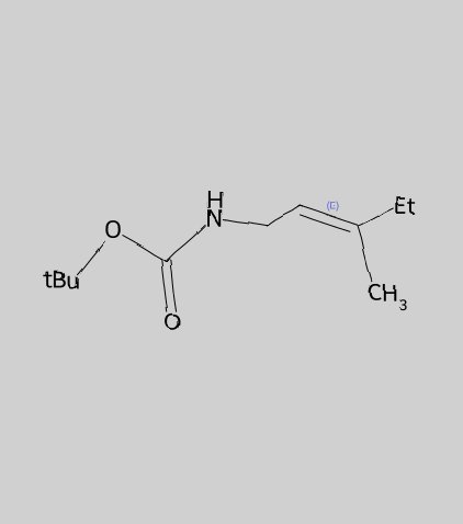 CC/C(C)=C/CNC(=O)OC(C)(C)C